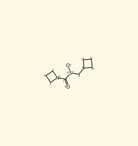 O=C(N1CCC1)[S+]([O-])CC1CCC1